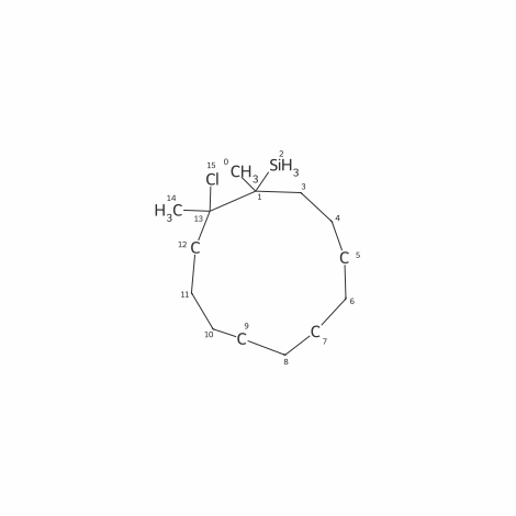 CC1([SiH3])CCCCCCCCCCC1(C)Cl